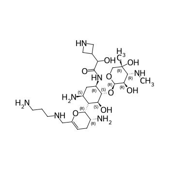 CN[C@@H]1[C@@H](O)[C@@H](O[C@H]2[C@H](NC(=O)C(O)C3CNC3)C[C@H](N)C([C@H]3OC(CNCCCN)=CC[C@H]3N)[C@@H]2O)OC[C@]1(C)O